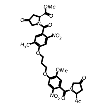 COC(=O)[C@@H]1CC(=O)CN1C(=O)c1cc(C)c(OCCCOc2cc([N+](=O)[O-])c(C(=O)N3CC(=O)C[C@H]3C(C)=O)cc2OC)cc1[N+](=O)[O-]